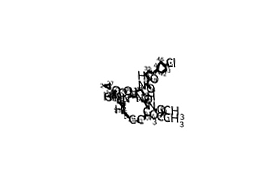 CC(C)(C)OC(=O)N[C@H]1CCCCC/C=C\[C@@H]2C[C@@]2(C(=O)NS(=O)(=O)C2CC2)NC(=O)[C@@H]2C[C@@H](NC(=O)c3ccc(-c4ccc(Cl)cc4)o3)CN2C1=O